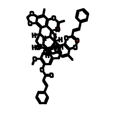 COc1cc2c(cc1OC(=O)/C=C/c1ccccc1)CCN[C@]21CS[C@@H]2c3c(OC(C)=O)c(C)c4c(c3[C@H](COC1=O)N1C2[C@H]2c3c(cc(C)c(OC)c3OC(=O)C=Cc3ccccc3)C[C@@H]([C@@H]1O)N2C)OCO4